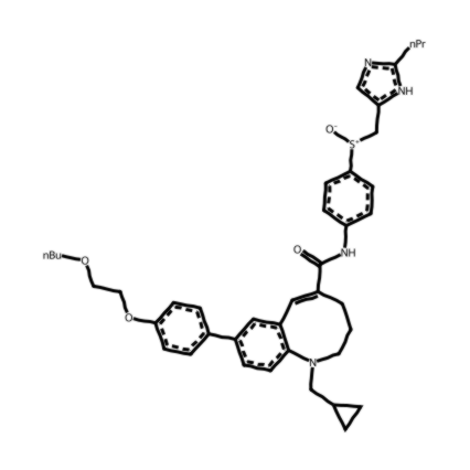 CCCCOCCOc1ccc(-c2ccc3c(c2)C=C(C(=O)Nc2ccc([S+]([O-])Cc4cnc(CCC)[nH]4)cc2)CCCN3CC2CC2)cc1